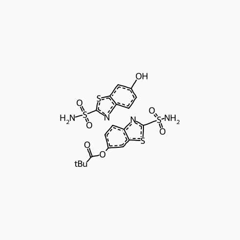 CC(C)(C)C(=O)Oc1ccc2nc(S(N)(=O)=O)sc2c1.NS(=O)(=O)c1nc2ccc(O)cc2s1